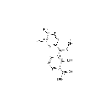 O=C(O)c1cccn(C(CO)c2ccc(F)c(F)c2)c1=O